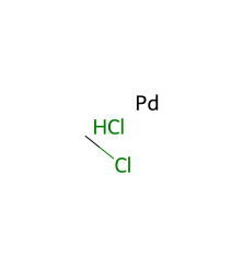 CCl.Cl.[Pd]